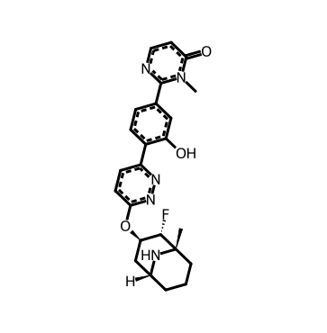 Cn1c(-c2ccc(-c3ccc(O[C@@H]4C[C@H]5CCC[C@](C)(N5)[C@H]4F)nn3)c(O)c2)nccc1=O